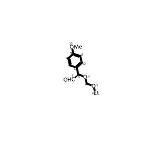 CCOCO[C@@H](C=O)c1ccc(OC)cc1